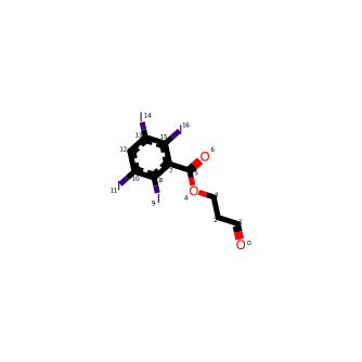 O=CCCOC(=O)c1c(I)c(I)cc(I)c1I